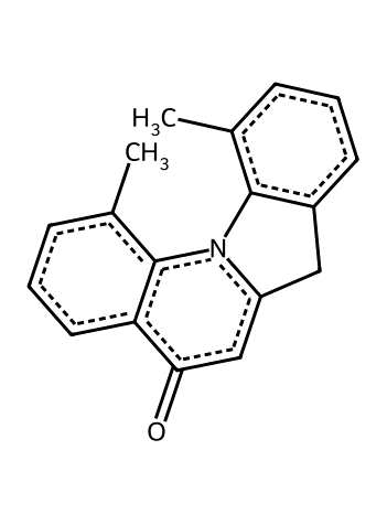 Cc1cccc2c1-n1c(cc(=O)c3cccc(C)c31)C2